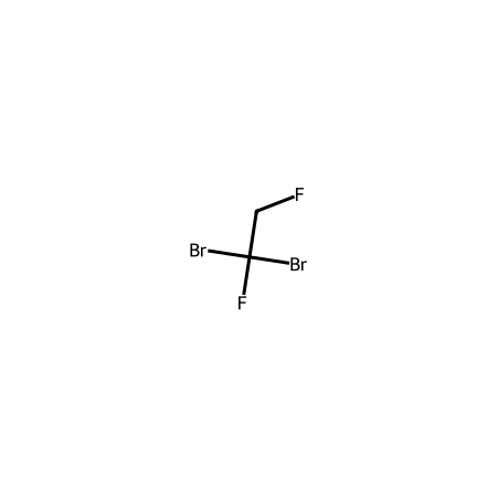 FCC(F)(Br)Br